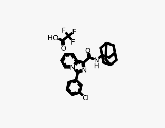 O=C(NC12CC3CC(CC(C3)C1)C2)c1nc(-c2cccc(Cl)c2)n2ccccc12.O=C(O)C(F)(F)F